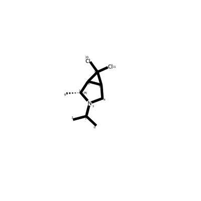 CC(C)N1CC2C([C@H]1C)C2(Cl)Cl